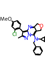 COc1ccc(-c2c(C)nn3c(N(Cc4ccccc4)C4CC4)c4c(nc23)COC4)c(Cl)c1